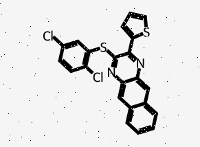 Clc1ccc(Cl)c(Sc2nc3cc4ccccc4cc3nc2-c2cccs2)c1